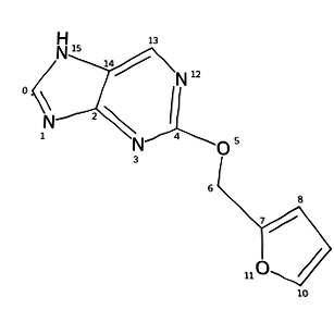 [c]1nc2nc(OCc3ccco3)ncc2[nH]1